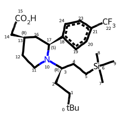 CC(C)(C)CC[C@H](CC[Si](C)(C)C)N1CC[C@@H](CC(=O)O)C[C@H]1c1ccc(C(F)(F)F)cc1